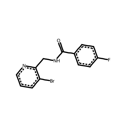 O=C(NCc1ncccc1Br)c1ccc(F)cc1